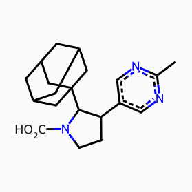 Cc1ncc(C2CCN(C(=O)O)C2C23CC4CC(CC(C4)C2)C3)cn1